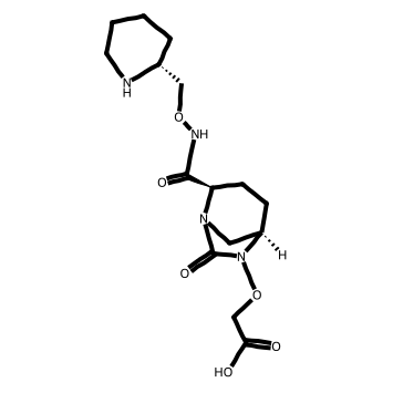 O=C(O)CON1C(=O)N2C[C@H]1CC[C@@H]2C(=O)NOC[C@H]1CCCCN1